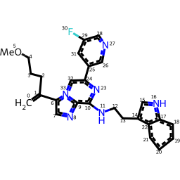 C=C(CCCOC)c1cnc2c(NCCc3c[nH]c4ccccc34)nc(-c3cncc(F)c3)cn12